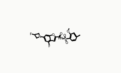 COc1cc(C)ccc1S(=O)(=O)NC(=O)c1cc2c(F)cc(N3CC(F)C3)cc2o1